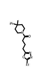 CCc1nnc(CCCC(=O)N2CCC(C)(C(C)C)CC2)o1